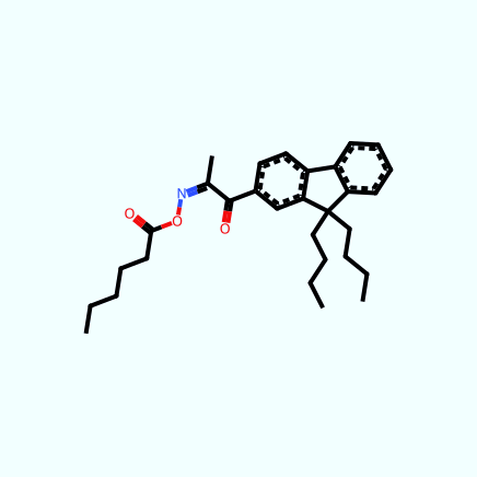 CCCCCC(=O)O/N=C(/C)C(=O)c1ccc2c(c1)C(CCCC)(CCCC)c1ccccc1-2